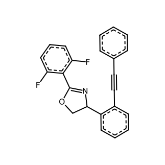 Fc1cccc(F)c1C1=NC(c2ccccc2C#Cc2ccccc2)CO1